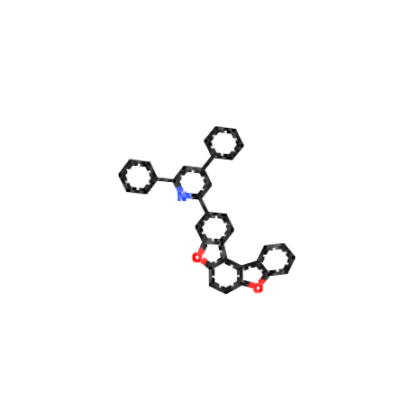 c1ccc(-c2cc(-c3ccccc3)nc(-c3ccc4c(c3)oc3ccc5oc6ccccc6c5c34)c2)cc1